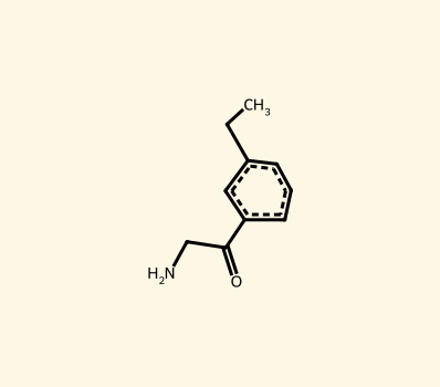 CCc1cccc(C(=O)CN)c1